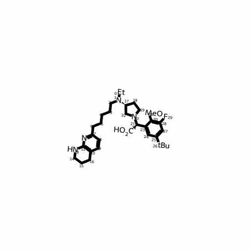 CCN(CCCCCc1ccc2c(n1)NCCC2)[C@@H]1CCN([C@H](C(=O)O)c2cc(C(C)(C)C)cc(F)c2OC)C1